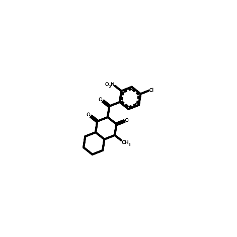 CC1C(=O)C(C(=O)c2ccc(Cl)cc2[N+](=O)[O-])C(=O)C2CCCCC12